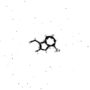 CCC1=C(C)Cc2c(Br)cccc21